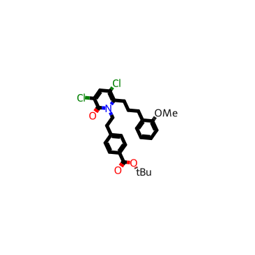 COc1ccccc1CCCc1c(Cl)cc(Cl)c(=O)n1CCc1ccc(C(=O)OC(C)(C)C)cc1